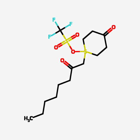 CCCCCCC(=O)CS1(OS(=O)(=O)C(F)(F)F)CCC(=O)CC1